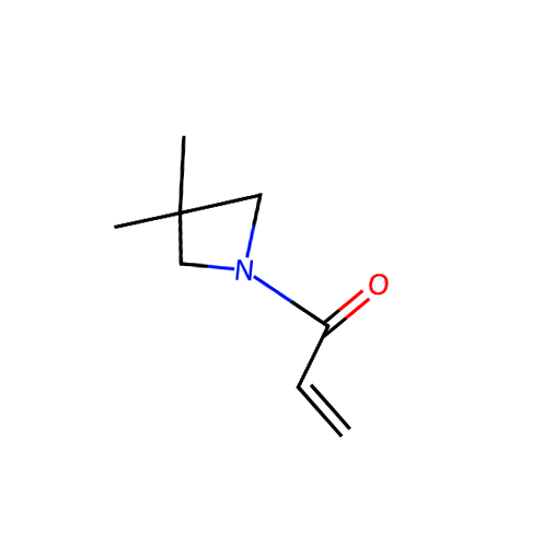 C=CC(=O)N1CC(C)(C)C1